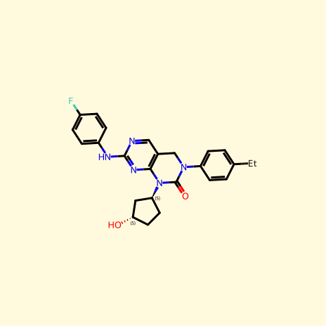 CCc1ccc(N2Cc3cnc(Nc4ccc(F)cc4)nc3N([C@H]3CC[C@H](O)C3)C2=O)cc1